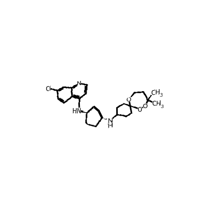 CC1(C)CCOC2(CCC(N[C@H]3CC[C@H](Nc4ccnc5cc(Cl)ccc45)CC3)CC2)OO1